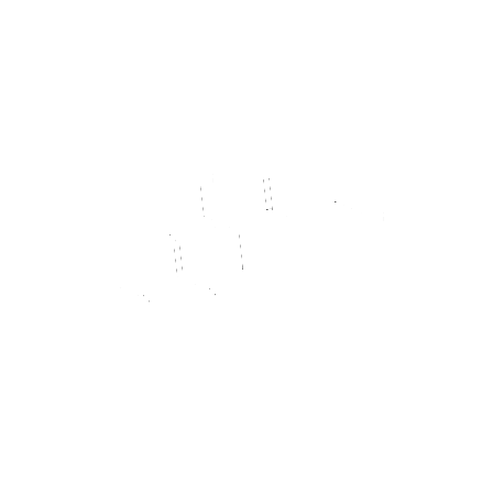 CCOC(=O)c1cnc(NC)nc1C